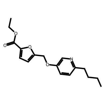 CCCCc1ccc(OCc2ccc(C(=O)OCC)o2)cn1